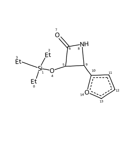 CC[Si](CC)(CC)OC1C(=O)NC1c1ccco1